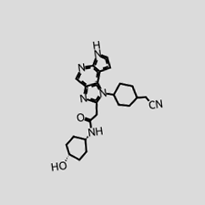 N#CCC1CCC(n2c(CC(=O)N[C@H]3CC[C@@H](O)CC3)nc3cnc4[nH]ccc4c32)CC1